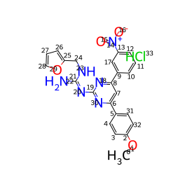 COc1ccc(-c2cc(-c3cccc([N+](=O)[O-])c3)nc(N=C(N)NCc3ccco3)n2)cc1.Cl